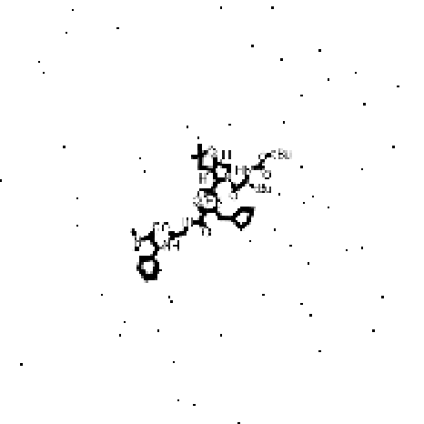 CN(C)C(=O)[C@@H](NC(=O)CNC(=O)C(=O)C(CC1CCCC1)NC(=O)C1[C@H]2CC(C)(C)O[C@H]2CN1C(=O)[C@@H](NC(=O)OC(C)(C)C)C(C)(C)C)c1ccccc1